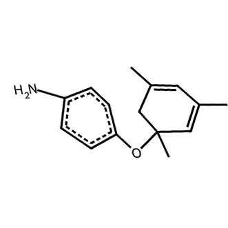 CC1=CC(C)(Oc2ccc(N)cc2)CC(C)=C1